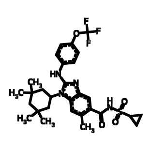 Cc1cc2c(cc1C(=O)NS(=O)(=O)C1CC1)nc(Nc1ccc(OC(F)(F)F)cc1)n2C1CC(C)(C)CC(C)(C)C1